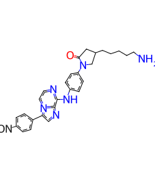 NCCCCCC1CC(=O)N(c2ccc(Nc3nccn4c(-c5ccc(N=O)cc5)cnc34)cc2)C1